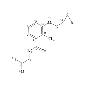 O=C(I)CNC(=O)c1cccc(OCC2CC2)c1Cl